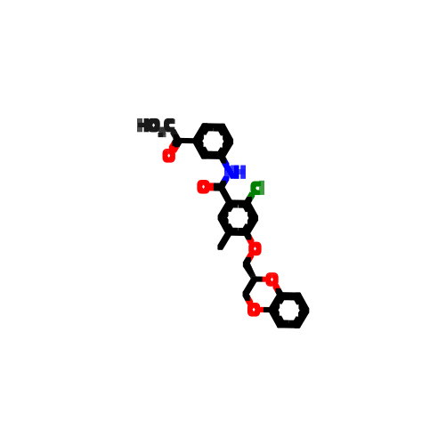 Cc1cc(C(=O)Nc2cccc(C(=O)C(=O)O)c2)c(Cl)cc1OC[C@@H]1COc2ccccc2O1